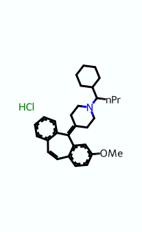 CCCC(C1CCCCC1)N1CCC(=C2c3ccccc3C=Cc3ccc(OC)cc32)CC1.Cl